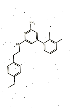 CSc1ccc(CCNc2cc(-c3cccc(C)c3C)nc(N)n2)cc1